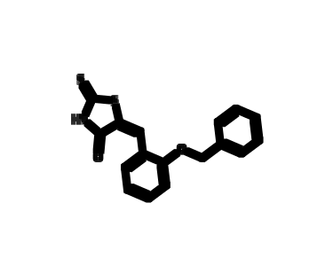 O=C1NC(=S)S/C1=C/c1ccccc1OCc1ccccc1